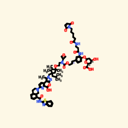 CCC(CC(C)C)(Cn1ncc(-c2ccc(N3CCc4cccc(C(=O)Nc5nc6ccccc6s5)c4C3)nc2C(=O)O)c1C)CC(C)(CC)OCCN(C(=O)OC/C=C/c1ccc(O[C@H]2C[C@@H](O)C[C@@H](C(=O)O)O2)c(NC(=O)CCNC(=O)CCCCCN2C(=O)C=CC2=O)c1)C1COC1